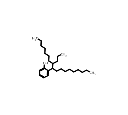 CCCCCCCCCC(c1ccccc1O)C(CCC)CCCCCCC